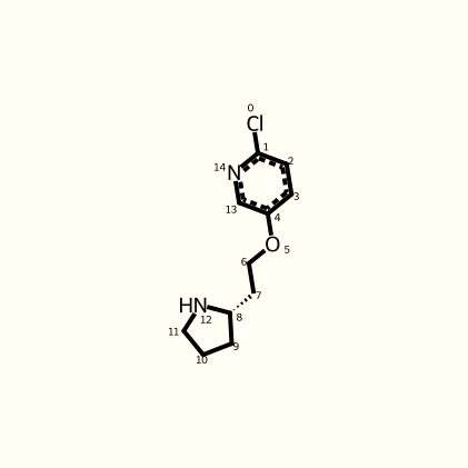 Clc1ccc(OCC[C@@H]2CCCN2)cn1